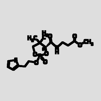 COC(=O)CCNC(=O)[C@@H]1OP(=O)(OCCc2cccs2)OCC1(C)C